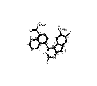 COC(=O)c1ccc(-c2nc(C)nc3[nH]c4cc(C)c(OC)cc4c23)c2cccnc12